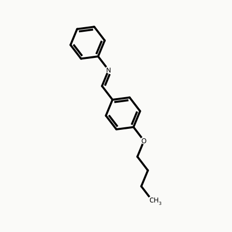 CCCCOc1ccc(/C=N/c2ccccc2)cc1